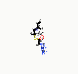 C=C/C(C)=C/[C@@](C)(SC(=O)CN=[N+]=[N-])C(C)=O